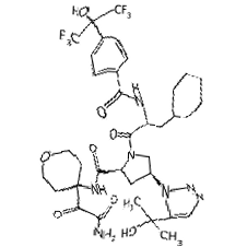 CC(C)(O)c1cnnn1[C@H]1C[C@@H](C(=O)NC2(C(=O)C(N)=O)CCOCC2)N(C(=O)C(CC2CCCCC2)NC(=O)c2ccc(C(O)(C(F)(F)F)C(F)(F)F)cc2)C1